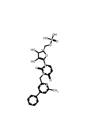 Cc1cc(-c2ccccc2)cc(Cn2c(=O)ccn(C3=C(O)C(O)[C@@H](COP(=O)(O)O)O3)c2=O)n1